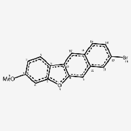 COc1ccc2c(c1)oc1cc3cc(Br)ccc3cc12